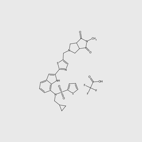 CN1C(=O)C2CN(Cc3cnc(-c4cc5cccc(N(CC6CC6)S(=O)(=O)c6cccs6)c5[nH]4)s3)CC2C1=O.O=C(O)C(F)(F)F